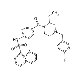 CCC1CN(Cc2ccc(F)cc2)CCN1C(=O)c1ccc(NS(=O)(=O)c2cccc3cccnc23)cc1